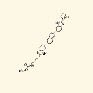 CC(C)(C)OC(=O)NCCCCc1nc2ccc(-c3ccc4cc(-c5ccc6nc([C@@H]7CCCN7)[nH]c6c5)ccc4c3)cc2[nH]1